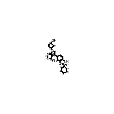 O=S(=O)(Nc1ccc(-c2cn(C3C=CC(O)C3)c3ncnc(Cl)c23)cc1Cl)c1ccccc1